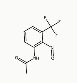 CC(=O)Nc1cccc(C(F)(F)F)c1N=O